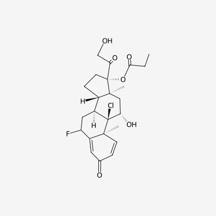 CCC(=O)O[C@@]1(C(=O)CO)CC[C@H]2[C@@H]3CC(F)C4=CC(=O)C=C[C@]4(C)[C@@]3(Cl)[C@@H](O)C[C@@]21C